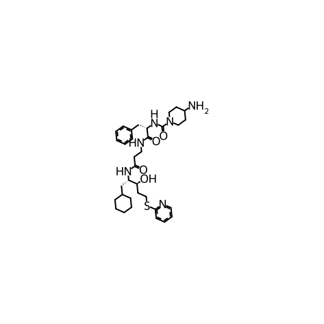 NC1CCN(C(=O)N[C@@H](Cc2ccccc2)C(=O)NCCC(=O)N[C@@H](CC2CCCCC2)[C@@H](O)CCSc2ccccn2)CC1